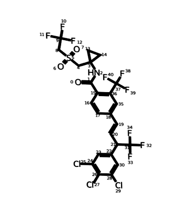 O=C(NC1(CS(=O)(=O)CC(F)(F)F)CC1)c1ccc(C=CC(c2cc(Cl)c(Cl)c(Cl)c2)C(F)(F)F)cc1C(F)(F)F